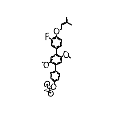 COc1cc(-c2ccc(OCC=C(C)C)c(F)c2)c(OC)cc1-c1ccc(OS(C)(=O)=O)cc1